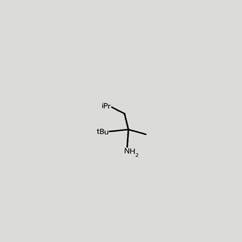 CC(C)CC(C)(N)C(C)(C)C